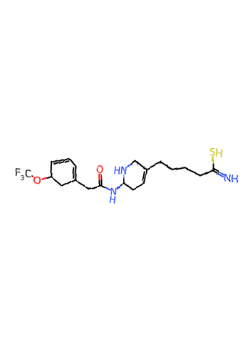 N=C(S)CCCCC1=CC[C@@H](NC(=O)CC2=CC=CC(OC(F)(F)F)C2)NC1